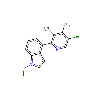 Cc1c(Br)cnc(-c2cccc3c2ccn3SF)c1[N+](=O)[O-]